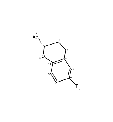 CC(=O)[C@@H]1CCc2cc(F)ccc2O1